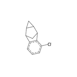 Clc1cccc2c1C1CC2C2CC12